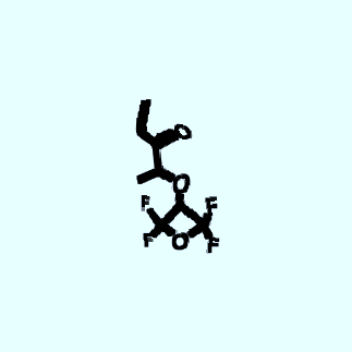 C=CC(=O)C(C)OC1C(F)(F)OC1(F)F